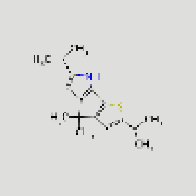 CC(C)c1cc2c([nH]1)-c1sc(C(C)C)cc1C2(C)C